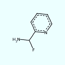 NC(F)c1ccccn1